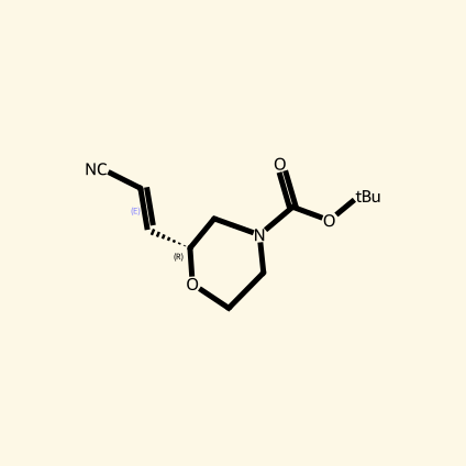 CC(C)(C)OC(=O)N1CCO[C@H](/C=C/C#N)C1